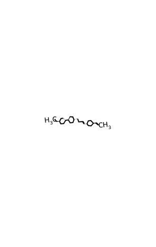 CC=C[C@H]1CC[C@H](C=CCC[C@H]2CC[C@H]([C@H]3CC[C@H](CC)CC3)CC2)CC1